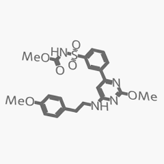 COC(=O)NS(=O)(=O)c1cccc(-c2cc(NCCc3ccc(OC)cc3)nc(OC)n2)c1